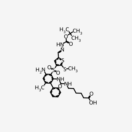 CSc1sc(C=NNC(=O)OC(C)(C)C)cc1S(=O)(=O)c1c(N)cc(C)c(-c2ccccc2)c1NC(=O)NCCCCCC(=O)O